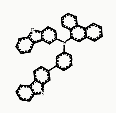 c1cc(-c2ccc3c(c2)sc2ccccc23)cc(N(c2ccc3oc4ccccc4c3c2)c2cc3ccccc3c3ccccc23)c1